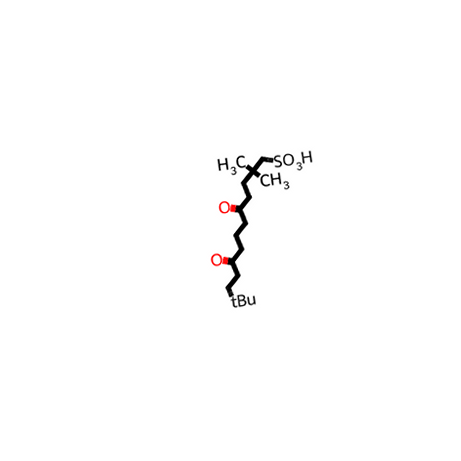 CC(C)(C)CCC(=O)CCCC(=O)CCC(C)(C)CS(=O)(=O)O